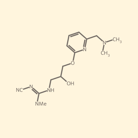 CNC(=NC#N)NCC(O)COc1cccc(CN(C)C)n1